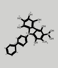 Cc1c(B(O)O)c(O)c2c3c(O)c(O)c(O)c(O)c3n(-c3ccc(-c4ccccc4)cc3)c2c1O